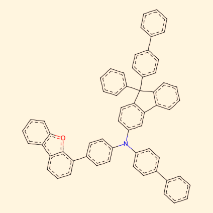 c1ccc(-c2ccc(N(c3ccc(-c4cccc5c4oc4ccccc45)cc3)c3ccc4c(c3)-c3ccccc3C4(c3ccccc3)c3ccc(-c4ccccc4)cc3)cc2)cc1